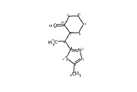 Cc1cnc(C(C)C2CCCCC2=O)s1